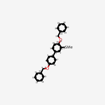 CSc1cc(-c2ccc(OCc3ccccc3)cc2)ccc1OCc1ccccc1